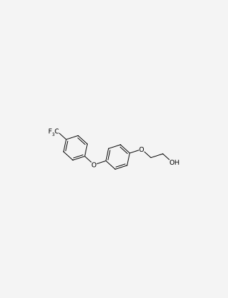 OCCOc1ccc(Oc2ccc(C(F)(F)F)cc2)cc1